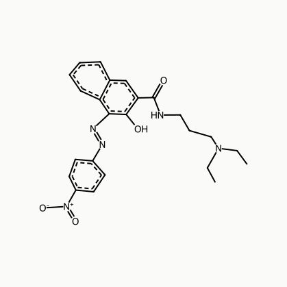 CCN(CC)CCCNC(=O)c1cc2ccccc2c(N=Nc2ccc([N+](=O)[O-])cc2)c1O